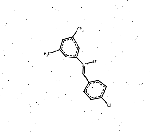 [O-][N+](=Cc1ccc(Cl)cc1)c1cc(C(F)(F)F)cc(C(F)(F)F)c1